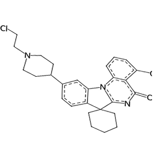 O=c1nc2n(c3cccc(Cl)c13)-c1cc(C3CCN(CCCl)CC3)ccc1C21CCCCC1